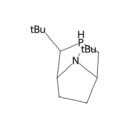 CC(C)(C)C1PCC2CCC1N2C(C)(C)C